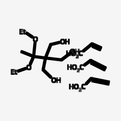 C=CC(=O)O.C=CC(=O)O.C=CC(=O)O.CCOC(C)(OCC)C(CO)(CO)CO